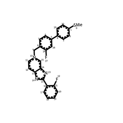 CSc1ccc(-c2ccc(Cn3ccc4nc(-c5ccccc5F)nc-4c3)c(F)c2)cc1